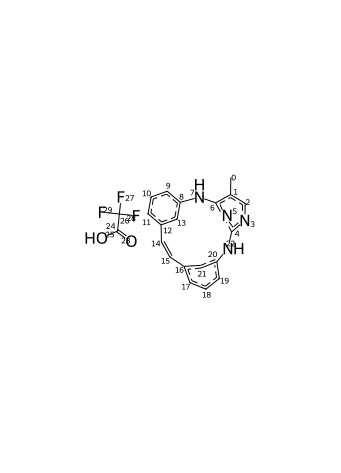 Cc1cnc2nc1Nc1cccc(c1)/C=C\c1cccc(c1)N2.O=C(O)C(F)(F)F